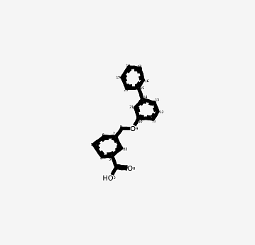 O=C(O)c1cccc(COc2cccc(-c3ccccc3)c2)c1